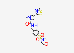 Cc1nc(-c2cc(C(=O)NCc3ccc(S(=O)(=O)N4CCOCC4)cc3)n(C)c2)cs1